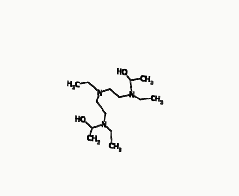 CCN(CCN(CC)C(C)O)CCN(CC)C(C)O